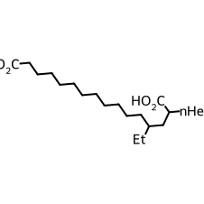 CCCCCCCC(CC(CC)CCCCCCCCCCCC(=O)O)C(=O)O